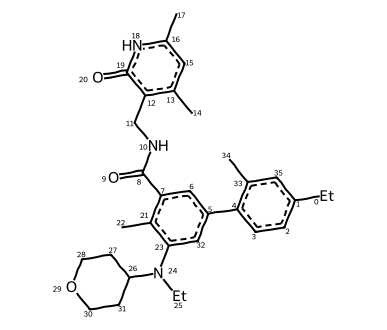 CCc1ccc(-c2cc(C(=O)NCc3c(C)cc(C)[nH]c3=O)c(C)c(N(CC)C3CCOCC3)c2)c(C)c1